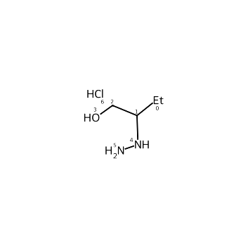 CCC(CO)NN.Cl